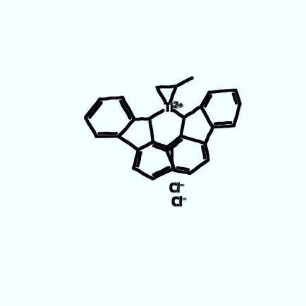 C[CH]1[CH2][Ti+2]1([CH]1c2ccccc2-c2ccccc21)[CH]1c2ccccc2-c2ccccc21.[Cl-].[Cl-]